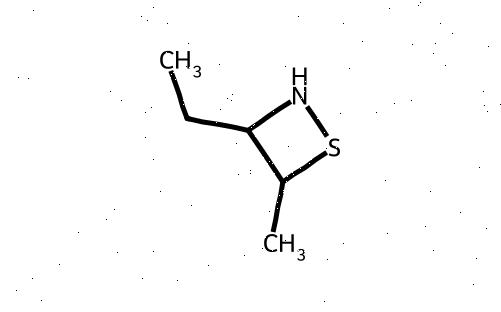 CCC1NSC1C